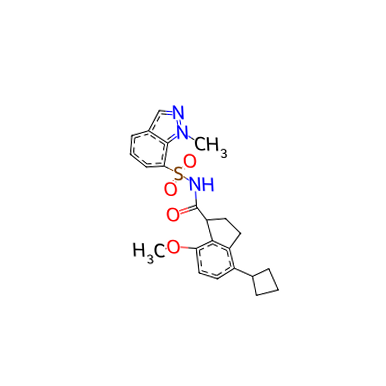 COc1ccc(C2CCC2)c2c1C(C(=O)NS(=O)(=O)c1cccc3cnn(C)c13)CC2